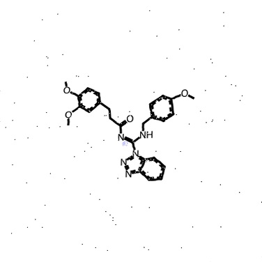 COc1ccc(CN/C(=N\C(=O)CCc2ccc(OC)c(OC)c2)n2nnc3ccccc32)cc1